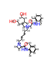 Cc1cccc(C)c1NC(=O)C[N+](CCCCO)(CCCCO)CCCCCCN1CCC1C(=O)Nc1c(C)cccc1C